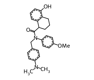 COc1ccc(N(Cc2ccc(N(C)C)cc2)C(=O)C2CCCc3c(O)cccc32)cc1